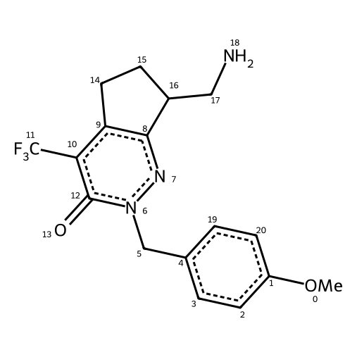 COc1ccc(Cn2nc3c(c(C(F)(F)F)c2=O)CCC3CN)cc1